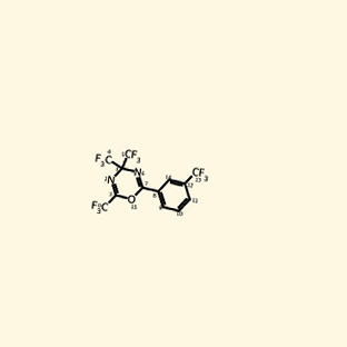 FC(F)(F)C1=NC(C(F)(F)F)(C(F)(F)F)N=C(c2cccc(C(F)(F)F)c2)O1